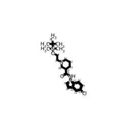 CC(C)(C)[Si](C)(C)OCCN1CCCC(C(=O)Nn2ccc3cc(Cl)ccc32)C1